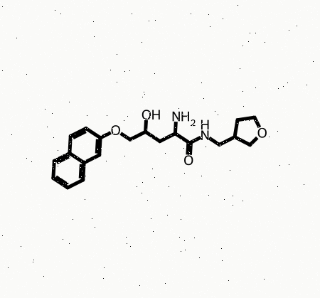 NC(CC(O)COc1ccc2ccccc2c1)C(=O)NCC1CCOC1